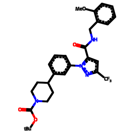 COc1ccccc1CNC(=O)c1cc(C(F)(F)F)nn1-c1cccc(C2CCN(C(=O)OC(C)(C)C)CC2)c1